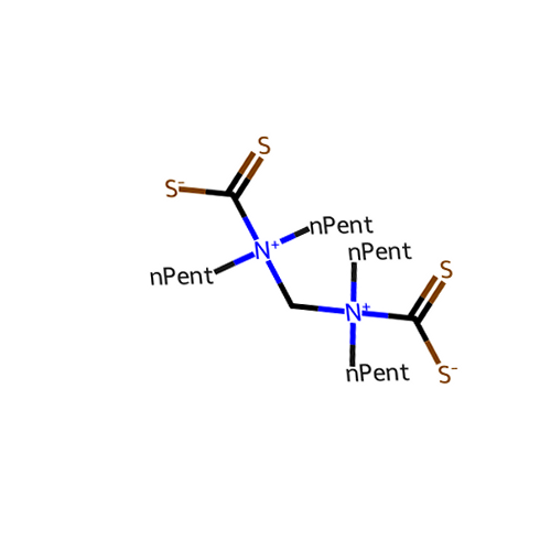 CCCCC[N+](CCCCC)(C[N+](CCCCC)(CCCCC)C(=S)[S-])C(=S)[S-]